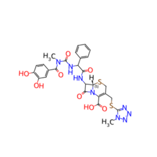 CN(C(=O)NC(C(=O)NC1C(=O)N2C(C(=O)O)=C(CSc3nnnn3C)CS[C@@H]12)c1ccccc1)C(=O)c1ccc(O)c(O)c1